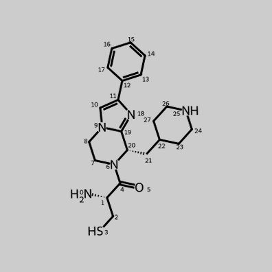 N[C@@H](CS)C(=O)N1CCn2cc(-c3ccccc3)nc2[C@@H]1CC1CCNCC1